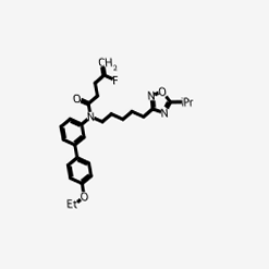 C=C(F)CCC(=O)N(CCCCCc1noc(C(C)C)n1)c1cccc(-c2ccc(OCC)cc2)c1